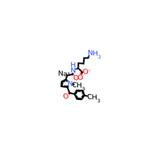 Cc1ccc(C(=O)c2ccc(CC(=O)NC(CCCCN)C(=O)[O-])n2C)cc1.[Na+]